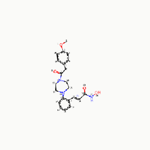 COc1ccc(CC(=O)N2CCN(c3ccccc3/C=C/C(=O)NO)CC2)cc1